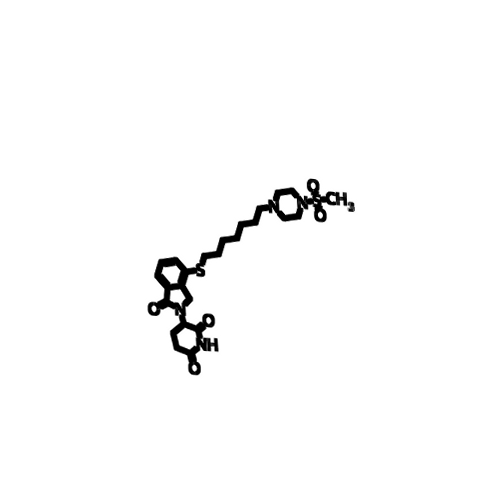 CS(=O)(=O)N1CCN(CCCCCCCSc2cccc3c2CN(C2CCC(=O)NC2=O)C3=O)CC1